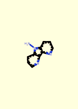 Nn1c2cccnc2c2ncccc21